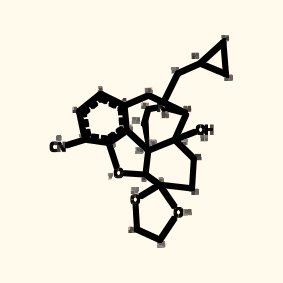 [C-]#[N+]c1ccc2c3c1OC1C4(CCC5(O)C(C2)N(CC2CC2)CC[C@]315)OCCO4